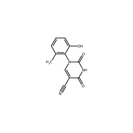 Cc1cccc(O)c1-n1cc(C#N)c(=O)[nH]c1=O